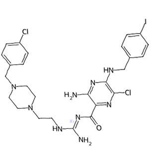 N/C(=N\C(=O)c1nc(Cl)c(NCc2ccc(I)cc2)nc1N)NCCN1CCN(Cc2ccc(Cl)cc2)CC1